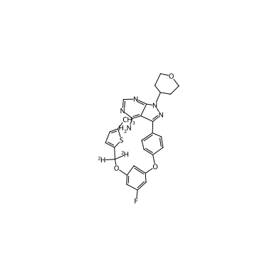 [2H]C([2H])(Oc1cc(F)cc(Oc2ccc(-c3nn(C4CCOCC4)c4ncnc(N)c34)cc2)c1)c1ccc(C)s1